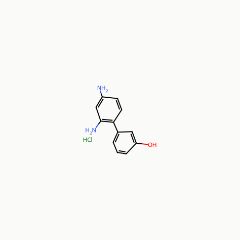 Cl.Nc1ccc(-c2cccc(O)c2)c(N)c1